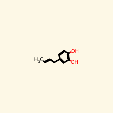 CC=CCc1ccc(O)c(O)c1